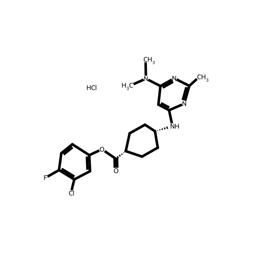 Cc1nc(N[C@H]2CC[C@@H](C(=O)Oc3ccc(F)c(Cl)c3)CC2)cc(N(C)C)n1.Cl